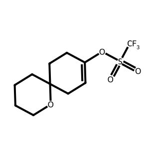 O=S(=O)(OC1=CCC2(CCCCO2)CC1)C(F)(F)F